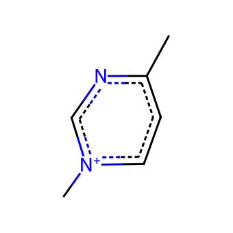 Cc1cc[n+](C)cn1